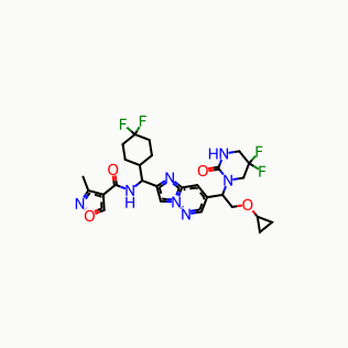 Cc1nocc1C(=O)NC(c1cn2ncc(C(COC3CC3)N3CC(F)(F)CNC3=O)cc2n1)C1CCC(F)(F)CC1